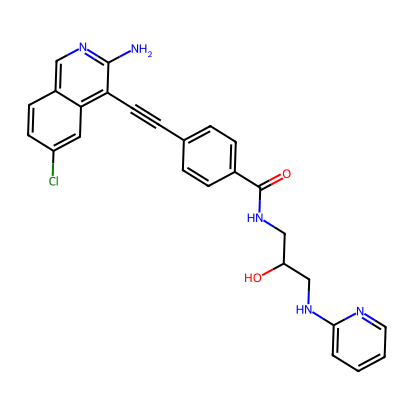 Nc1ncc2ccc(Cl)cc2c1C#Cc1ccc(C(=O)NCC(O)CNc2ccccn2)cc1